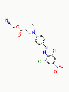 CCN(CCC(=O)OCC#N)c1ccc(/N=N/c2c(Cl)cc([N+](=O)[O-])cc2Cl)cc1